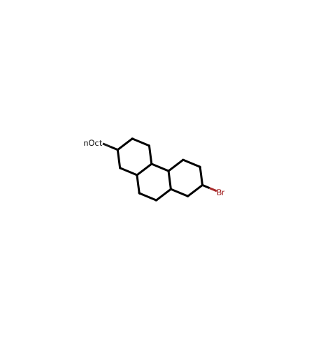 CCCCCCCCC1CCC2C(CCC3CC(Br)CCC32)C1